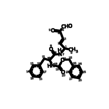 CC(C=CC(=O)C=O)NC(=O)C(Cc1ccccc1)NC(=O)OCc1ccccc1